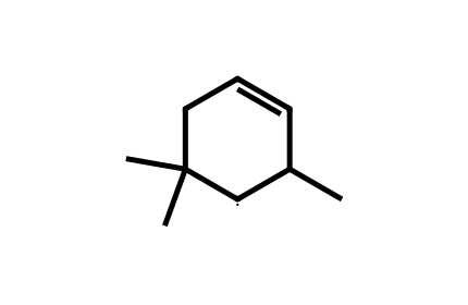 CC1[CH]C(C)(C)CC=C1